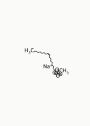 CCCCCCCC/C=C\CCCCCCCC(=O)OC(C)S(=O)(=O)[O-].[Na+]